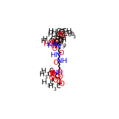 CC(=O)NC1C(OCCCCC(=O)NCCNC(=O)CCn2cc([C@@H]3O[C@@H]4CO[Si](C(C)(C)C)(C(C)(C)C)O[C@@H]4C3CC(C)(C)[Si](C)(C)O)c(=O)[nH]c2=O)OC(COC(C)=O)C(OC(C)=O)C1OC(C)=O